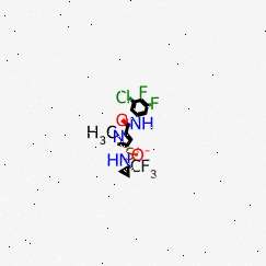 Cn1cc([S+]([O-])NC2(C(F)(F)F)CC2)cc1C(=O)Nc1cc(F)c(F)c(Cl)c1